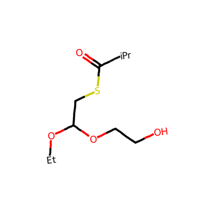 CCOC(CSC(=O)C(C)C)OCCO